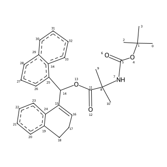 CC(C)(C)OC(=O)NC(C)(C)C(=O)OC(C1=CCCc2ccccc21)c1cccc2ccccc12